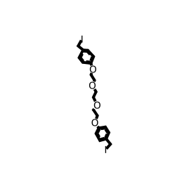 ICc1ccc(OCCOCCOCCOc2ccc(CI)cc2)cc1